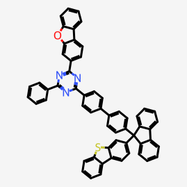 c1ccc(-c2nc(-c3ccc(-c4ccc(C5(c6ccc7c(c6)sc6ccccc67)c6ccccc6-c6ccccc65)cc4)cc3)nc(-c3ccc4c(c3)oc3ccccc34)n2)cc1